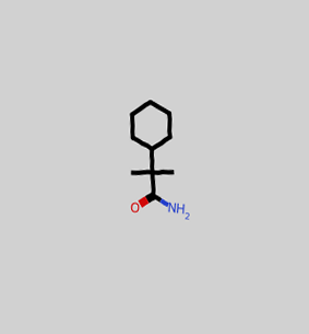 CC(C)(C(N)=O)C1CCCCC1